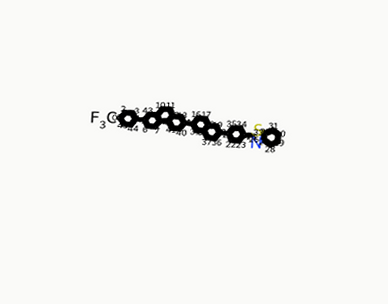 FC(F)(F)c1ccc(-c2ccc3c(ccc4cc(-c5ccc6cc(-c7ccc(-c8nc9ccccc9s8)cc7)ccc6c5)ccc43)c2)cc1